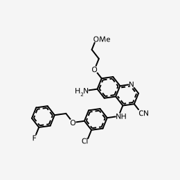 COCCOc1cc2ncc(C#N)c(Nc3ccc(OCc4cccc(F)c4)c(Cl)c3)c2cc1N